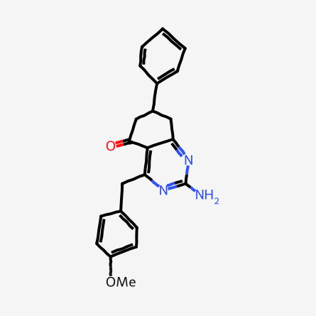 COc1ccc(Cc2nc(N)nc3c2C(=O)CC(c2ccccc2)C3)cc1